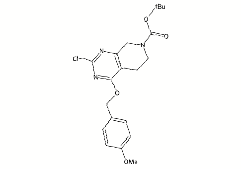 COc1ccc(COc2nc(Cl)nc3c2CCN(C(=O)OC(C)(C)C)C3)cc1